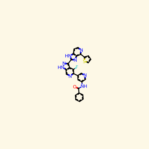 O=C(Nc1cncc(-c2ncc3[nH]nc(-c4nc5c(-c6cccs6)nccc5[nH]4)c3c2F)c1)c1ccccc1